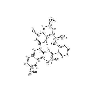 COC(=O)c1ccccc1N[C@H](C)c1cc(C)cc2c(=O)cc(-c3cc(C)c4nc(OC)ccc4c3)oc12